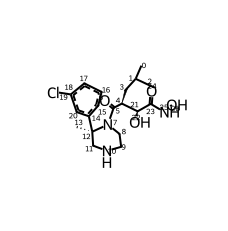 CC(C)C[C@H](C(=O)N1CCNC[C@@]1(C)c1cccc(Cl)c1)[C@H](O)C(=O)NO